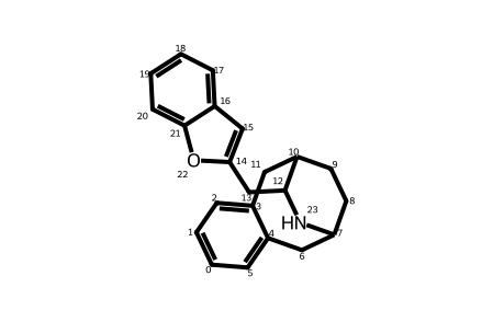 c1ccc2c(c1)CC1CCC(C2)C(Cc2cc3ccccc3o2)N1